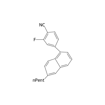 CCCCCc1ccc2c(-c3ccc(C#N)c(F)c3)cccc2c1